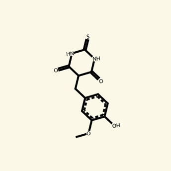 COc1cc(CC2C(=O)NC(=S)NC2=O)ccc1O